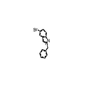 Brc1ccc2nn(Cc3ccccc3)cc2c1